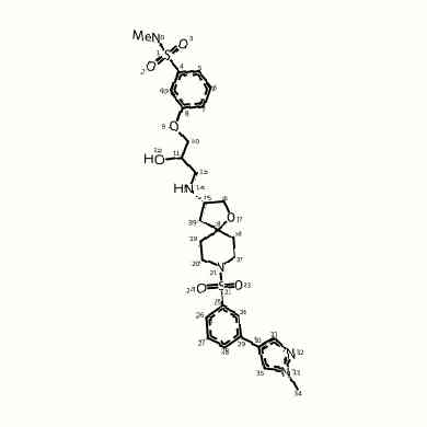 CNS(=O)(=O)c1cccc(OCC(O)CN[C@@H]2COC3(CCN(S(=O)(=O)c4cccc(-c5cnn(C)c5)c4)CC3)C2)c1